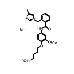 CCCCCCCCCCCCCCOc1ccc(NC(=O)c2ccccc2C[n+]2csc(C)c2)cc1OC.[Br-]